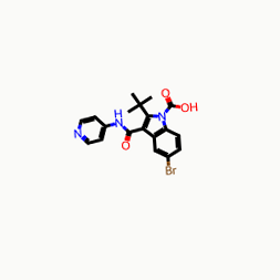 CC(C)(C)c1c(C(=O)Nc2ccncc2)c2cc(Br)ccc2n1C(=O)O